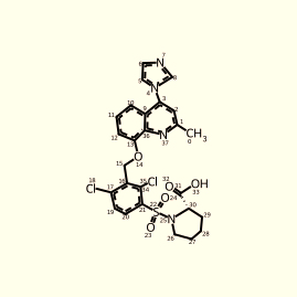 Cc1cc(-n2ccnc2)c2cccc(OCc3c(Cl)ccc(S(=O)(=O)N4CCCC[C@H]4C(=O)O)c3Cl)c2n1